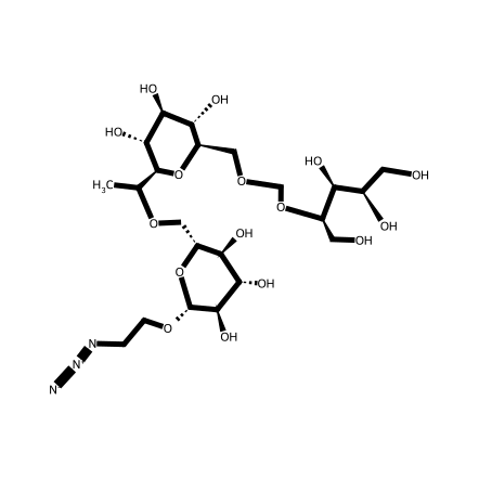 CC(OC[C@H]1O[C@@H](OCCN=[N+]=[N-])[C@H](O)[C@@H](O)[C@@H]1O)[C@@H]1O[C@H](COCO[C@H](CO)[C@@H](O)[C@H](O)CO)[C@@H](O)[C@H](O)[C@H]1O